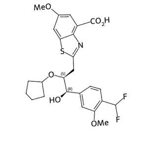 COc1cc(C(=O)O)c2nc(C[C@H](OC3CCCC3)[C@H](O)c3ccc(C(F)F)c(OC)c3)sc2c1